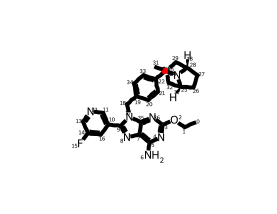 CCOc1nc(N)c2nc(-c3cncc(F)c3)n(Cc3ccc(CN4[C@@H]5CC[C@H]4CN(C)C5)cc3)c2n1